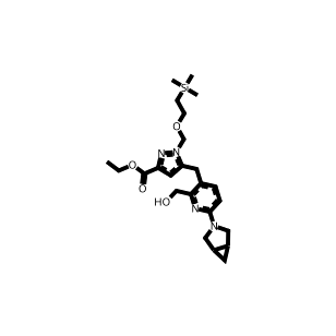 CCOC(=O)c1cc(Cc2ccc(N3CC4CC4C3)nc2CO)n(COCC[Si](C)(C)C)n1